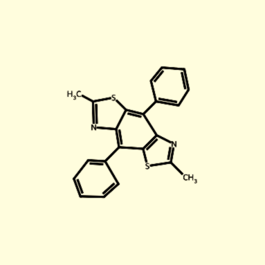 Cc1nc2c(-c3ccccc3)c3sc(C)nc3c(-c3ccccc3)c2s1